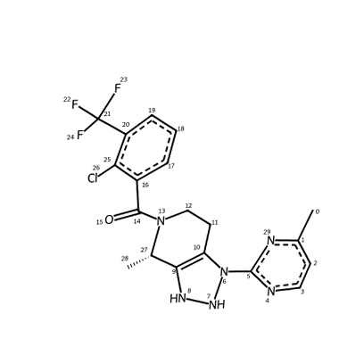 Cc1ccnc(N2NNC3=C2CCN(C(=O)c2cccc(C(F)(F)F)c2Cl)[C@H]3C)n1